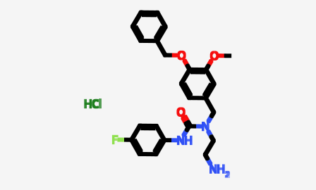 COc1cc(CN(CCN)C(=O)Nc2ccc(F)cc2)ccc1OCc1ccccc1.Cl